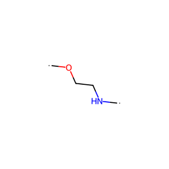 [CH2]NCCO[CH2]